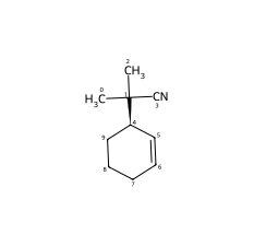 CC(C)(C#N)[C@H]1C=CCCC1